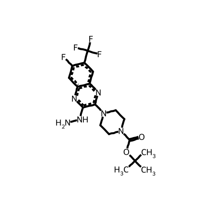 CC(C)(C)OC(=O)N1CCN(c2nc3cc(C(F)(F)F)c(F)cc3nc2NN)CC1